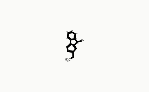 CCc1ccc2c(c1)C(F)c1ccccc1-2